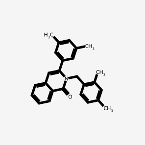 Cc1cc(C)cc(-c2cc3ccccc3c(=O)n2Cc2ccc(C)cc2C)c1